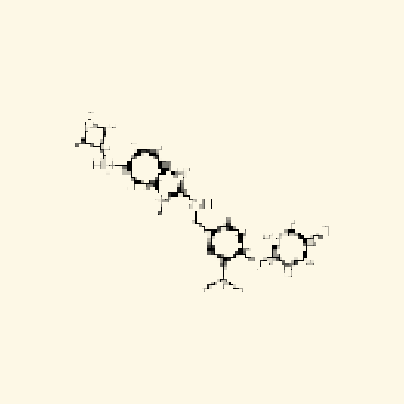 CC(C)c1cc(CNc2nc3ccc(NC4COC4)cc3n2C)ccc1Oc1ncc(Cl)cn1